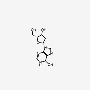 OC[C@H]1O[C@@H](n2cnc3c2N=CNC3O)CC1O